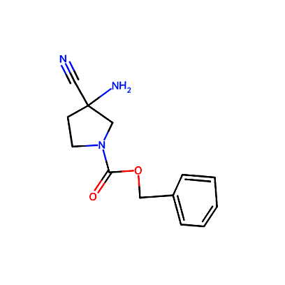 N#CC1(N)CCN(C(=O)OCc2ccccc2)C1